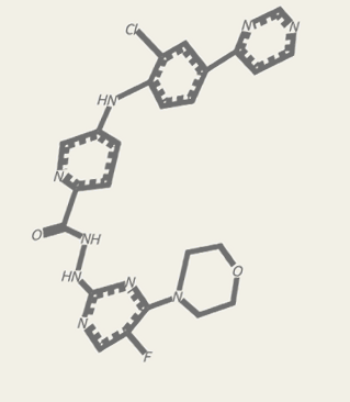 O=C(NNc1ncc(F)c(N2CCOCC2)n1)c1ccc(Nc2ccc(-c3ccncn3)cc2Cl)cn1